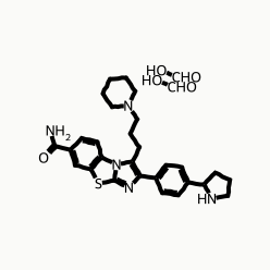 NC(=O)c1ccc2c(c1)sc1nc(-c3ccc(C4CCCN4)cc3)c(CCCN3CCCCC3)n12.O=CO.O=CO